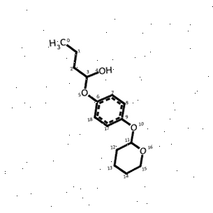 CCCC(O)Oc1ccc(OC2CCCCO2)cc1